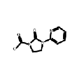 O=C(Cl)N1CCN(c2ccccn2)C1=O